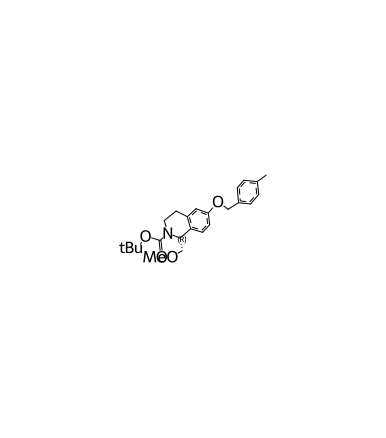 COC[C@H]1c2ccc(OCc3ccc(C)cc3)cc2CCN1C(=O)OC(C)(C)C